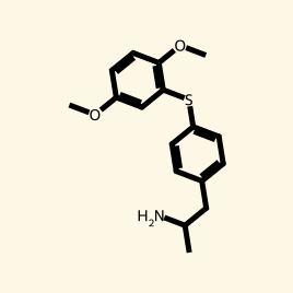 COc1ccc(OC)c(Sc2ccc(CC(C)N)cc2)c1